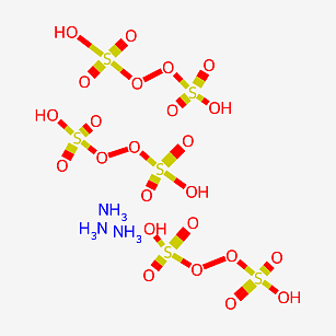 N.N.N.O=S(=O)(O)OOS(=O)(=O)O.O=S(=O)(O)OOS(=O)(=O)O.O=S(=O)(O)OOS(=O)(=O)O